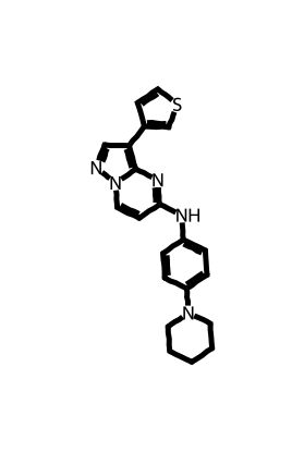 c1cc(-c2cnn3ccc(Nc4ccc(N5CCCCC5)cc4)nc23)cs1